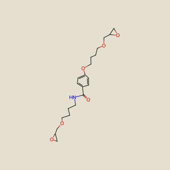 O=C(NCCCCOCC1CO1)c1ccc(OCCCCOCC2CO2)cc1